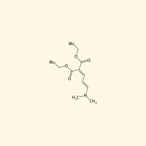 CCC(C)COC(=O)C(=CC=CN(C)C)C(=O)OCC(C)CC